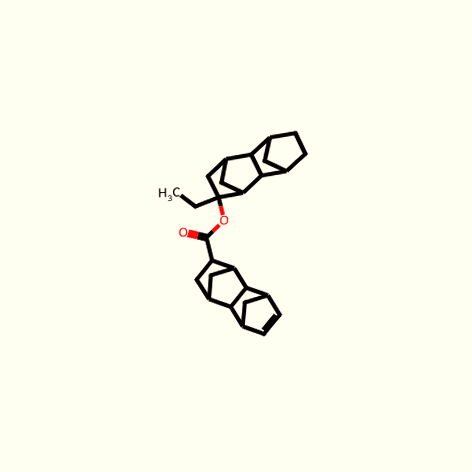 CCC1(OC(=O)C2CC3CC2C2C4C=CC(C4)C32)CC2CC1C1C3CCC(C3)C21